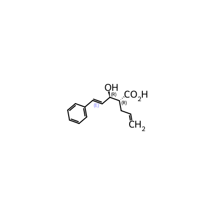 C=CC[C@@H](C(=O)O)[C@H](O)/C=C/c1ccccc1